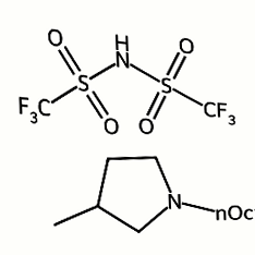 CCCCCCCCN1CCC(C)C1.O=S(=O)(NS(=O)(=O)C(F)(F)F)C(F)(F)F